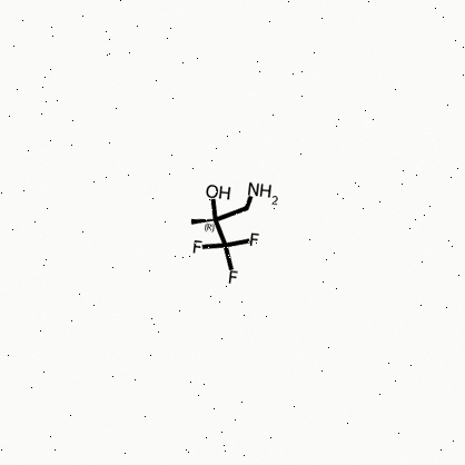 C[C@@](O)(CN)C(F)(F)F